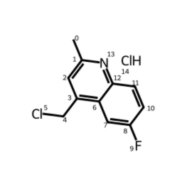 Cc1cc(CCl)c2cc(F)ccc2n1.Cl